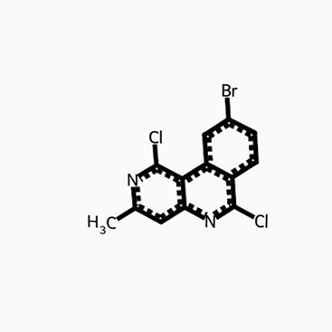 Cc1cc2nc(Cl)c3ccc(Br)cc3c2c(Cl)n1